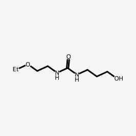 [CH2]COCCNC(=O)NCCCO